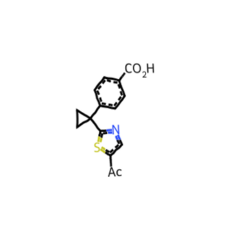 CC(=O)c1cnc(C2(c3ccc(C(=O)O)cc3)CC2)s1